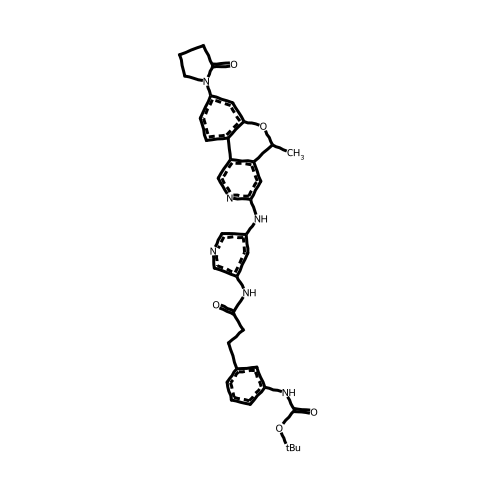 CC1Oc2cc(N3CCCC3=O)ccc2-c2cnc(Nc3cncc(NC(=O)CCc4cccc(NC(=O)OC(C)(C)C)c4)c3)cc21